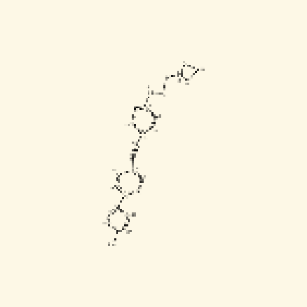 Clc1ccc(-c2ccc(C#Cc3ccc(OCCN4CCC4)cc3)nc2)cc1